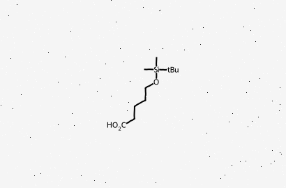 CC(C)(C)[Si](C)(C)OCCCCC(=O)O